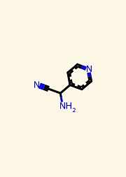 N#CC(N)c1ccncc1